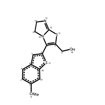 COc1ccc2cc(C3=C(CO)SC4=NCCN43)sc2c1